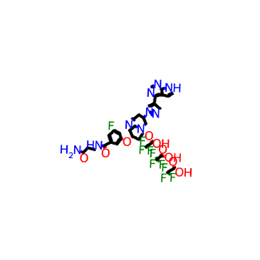 N#CCC(CN1CCC(Oc2cc(F)cc(C(=O)NCCC(N)=O)c2)CC1)n1cc(-c2ncnc3[nH]ccc23)cn1.O=C(O)C(F)(F)F.O=C(O)C(F)(F)F.O=C(O)C(F)(F)F